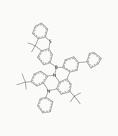 CC(C)(C)c1ccc2c(c1)N(c1ccccc1)c1cc(C(C)(C)C)cc3c1N2B(c1ccc2c(c1)Sc1ccccc1C2(C)C)c1ccc(-c2ccccc2)cc1-3